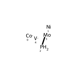 [Co].[Ni].[PH2][Mo].[V]